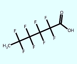 CC(F)(F)C(F)(F)C(F)(F)C(F)(F)C(=O)O